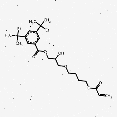 C=CC(=O)OCCCCOCC(O)COC(=O)c1cc(C(C)(C)CC)cc(C(C)(C)CC)c1